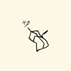 CC12CC3CC(C1)CC(P)(C3)C2